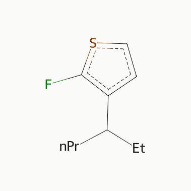 CCCC(CC)c1ccsc1F